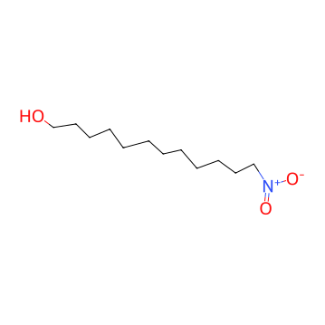 O=[N+]([O-])CCCCCCCCCCCCO